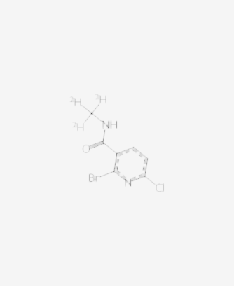 [2H]C([2H])([2H])NC(=O)c1ccc(Cl)nc1Br